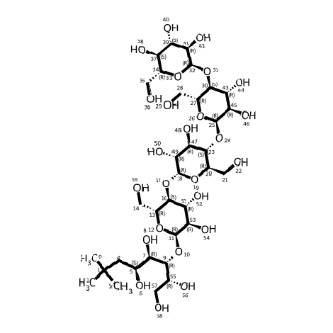 CC(C)(C)C[C@H](O)[C@@H](O)[C@H](O[C@H]1O[C@H](CO)[C@@H](O[C@H]2O[C@H](CO)[C@@H](O[C@H]3O[C@H](CO)[C@@H](O[C@H]4O[C@H](CO)[C@@H](O)[C@H](O)[C@H]4O)[C@H](O)[C@H]3O)[C@H](O)[C@H]2O)[C@H](O)[C@H]1O)[C@H](O)CO